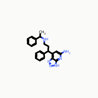 CC(NCCC(c1ccccc1)c1cc(N)nc2[nH]nnc12)c1ccccc1